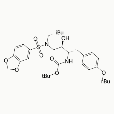 CCCCOc1ccc(C[C@H](NC(=O)OC(C)(C)C)[C@H](O)CN(C[C@@H](C)CC)S(=O)(=O)c2ccc3c(c2)OCO3)cc1